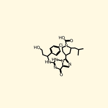 CC(C)CC1CC(c2ncc3c(=O)nc(NC(CCO)c4ccc(Cl)cc4)[nH]n23)CCN1C(=O)O